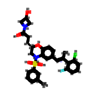 C/C(=C\c1ccc2c(c1)N(S(=O)(=O)c1cccc(C)c1)C[C@H](CCC(=O)N1CC(O)C1)O2)c1c(F)cccc1Cl